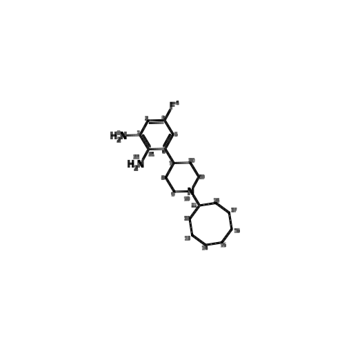 Nc1cc(F)cc(C2CCN(C3CCCCCCC3)CC2)c1N